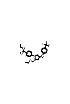 CCOC[C@@H]1C[C@H](Oc2ccc(C(F)(F)F)cc2)CN1c1ccc(C(=O)OCC)cc1